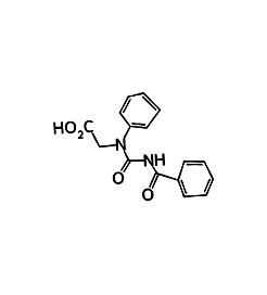 O=C(O)CN(C(=O)NC(=O)c1ccccc1)c1ccccc1